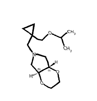 CC(C)OCC1(CN2C[C@@H]3OCCO[C@H]3C2)CC1